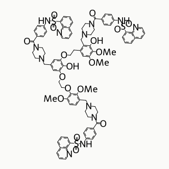 COc1cc(CCOc2cc(CN3CCN(C(=O)c4ccc(NS(=O)(=O)c5cccc6cccnc56)cc4)CC3)cc(OCCOc3c(OC)ccc(CN4CCN(C(=O)c5ccc(NS(=O)(=O)c6cccc7cccnc67)cc5)CC4)c3OC)c2O)c(CN2CCN(C(=O)c3ccc(NS(=O)(=O)c4cccc5cccnc45)cc3)CC2)c(O)c1OC